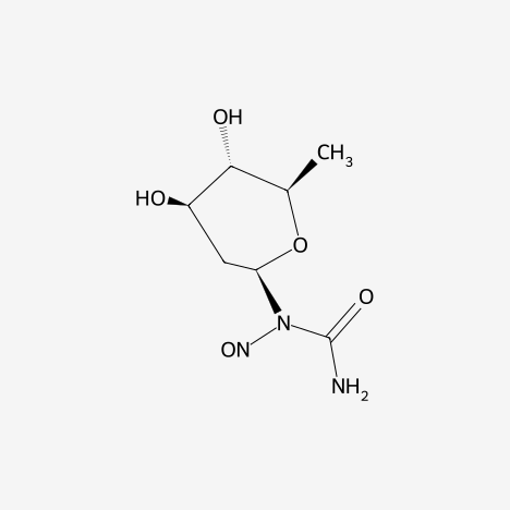 C[C@H]1O[C@@H](N(N=O)C(N)=O)C[C@@H](O)[C@@H]1O